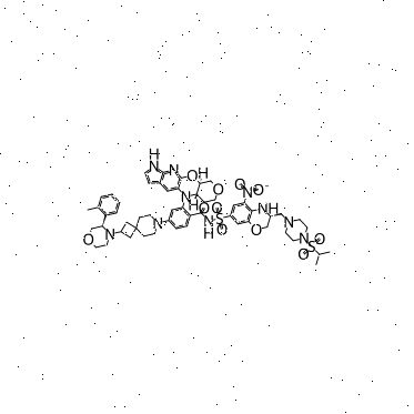 Cc1ccccc1[C@@H]1COCCN1C1CC2(CCN(c3ccc(C(=O)NS(=O)(=O)c4cc5c(c([N+](=O)[O-])c4)N[C@@H](CN4CCN(S(=O)(=O)C(C)C)CC4)CO5)c(N4c5cc6cc[nH]c6nc5O[C@H]5COCC[C@@H]54)c3)CC2)C1